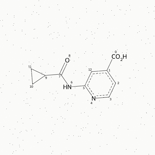 O=C(O)c1ccnc(NC(=O)C2CC2)c1